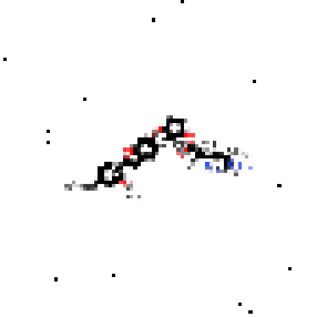 CCCCCc1ccc(-c2cc3ccc(OC4CCC(OC(=O)C(C)(C)C(N)CC(C)(C)N)C4(C)C(F)(F)F)cc3o2)c(OC(F)(F)F)c1